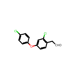 O=CCc1ccc(Oc2ccc(Cl)cc2)cc1Cl